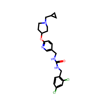 O=C(NCc1ccc(OC2CCN(CC3CC3)CC2)nc1)NCc1ccc(Cl)cc1Cl